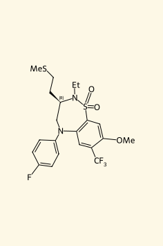 CCN1[C@H](CCSC)CN(c2ccc(F)cc2)c2cc(C(F)(F)F)c(OC)cc2S1(=O)=O